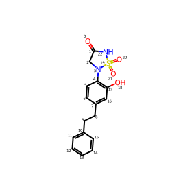 O=C1CN(c2ccc(CCc3ccccc3)cc2O)S(=O)(=O)N1